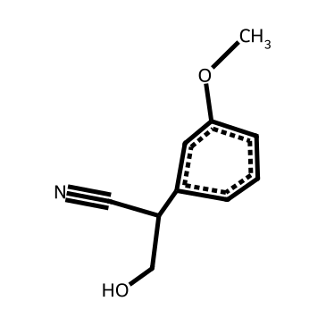 COc1cccc(C(C#N)CO)c1